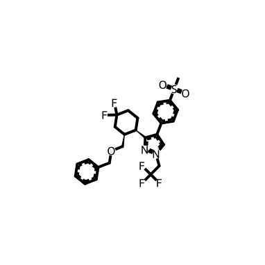 CS(=O)(=O)c1ccc(-c2cn(CC(F)(F)F)nc2[C@@H]2CCC(F)(F)C[C@@H]2COCc2ccccc2)cc1